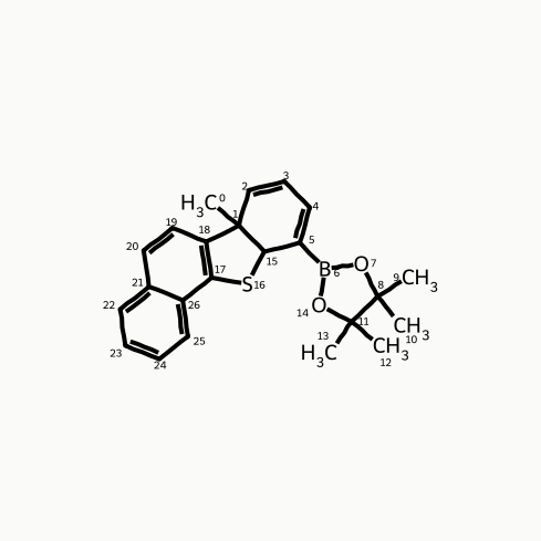 CC12C=CC=C(B3OC(C)(C)C(C)(C)O3)C1Sc1c2ccc2ccccc12